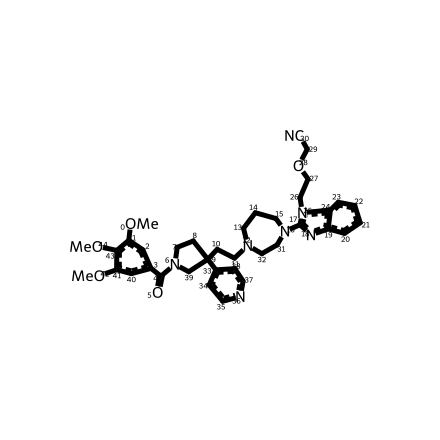 COc1cc(C(=O)N2CCC(CCN3CCCN(c4nc5ccccc5n4CCOCC#N)CC3)(c3ccncc3)C2)cc(OC)c1OC